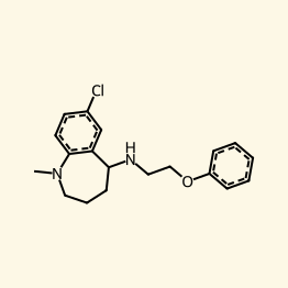 CN1CCCC(NCCOc2ccccc2)c2cc(Cl)ccc21